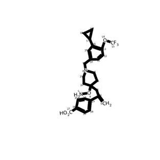 C=C(CC1(ON)CCN(Cc2ccc(OC(F)(F)F)c(C3CC3)c2)CC1)c1ccc(C(=O)O)cc1